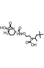 CC(CC(C)(C)C)N(CCONC(=O)[C@@H]1CC[C@@H]2CN1C(=O)N2O)C(=O)O